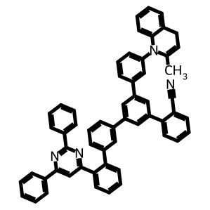 CC1=CCc2ccccc2N1c1cccc(-c2cc(-c3cccc(-c4ccccc4-c4cc(-c5ccccc5)nc(-c5ccccc5)n4)c3)cc(-c3ccccc3C#N)c2)c1